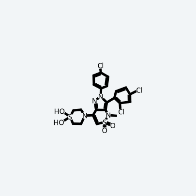 CN1c2c(nn(-c3ccc(Cl)cc3)c2-c2ccc(Cl)cc2Cl)C(N2CCS(O)(O)CC2)=CS1(=O)=O